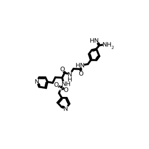 N=C(N)c1ccc(CNC(=O)CNC(=O)C(CCc2ccncc2)NS(=O)(=O)Cc2ccncc2)cc1